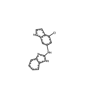 Clc1cc(Nc2nc3ccccc3[nH]2)cc2[nH]ccc12